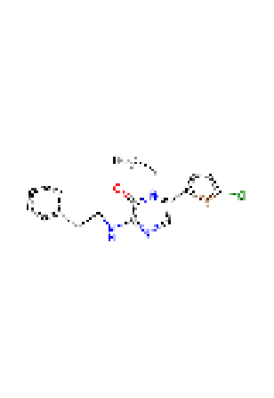 O=C(O)Cn1c(-c2ccc(Cl)s2)cnc(NCCc2ccccc2)c1=O